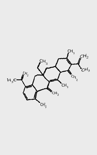 C=C(C)C1=C(C)CC2CC3(CC)Cc4c(C(=C)C)ccc(C)c4C(=C)C3=C(C)C2C1=C